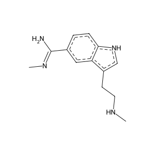 CN=C(N)c1ccc2[nH]cc(CCNC)c2c1